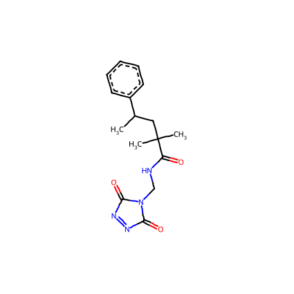 CC(CC(C)(C)C(=O)NCN1C(=O)N=NC1=O)c1ccccc1